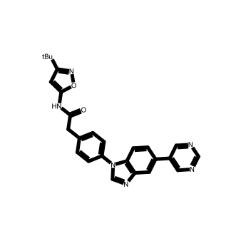 CC(C)(C)c1cc(NC(=O)Cc2ccc(-n3cnc4cc(-c5cncnc5)ccc43)cc2)on1